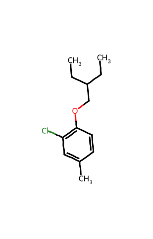 CCC(CC)COc1ccc(C)cc1Cl